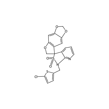 O=S1(=O)N(Cc2ccc(Cl)s2)c2ncccc2C12COc1cc3c(cc12)OCO3